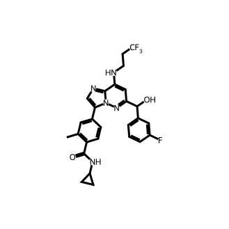 Cc1cc(-c2cnc3c(NCCC(F)(F)F)cc(C(O)c4cccc(F)c4)nn23)ccc1C(=O)NC1CC1